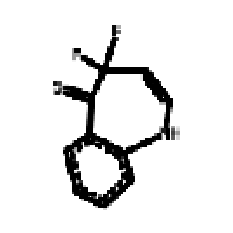 O=C1c2ccccc2NC=CC1(F)F